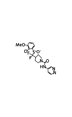 COc1cccc([S+]([O-])C(F)(F)C2CCN(C(=O)Nc3ccnnc3)CC2)c1Cl